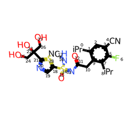 CC(C)c1cc(C#N)c(F)c(C(C)C)c1CC(=O)N=S(=O)(NC#N)c1cnc(C(O)(CO)CO)s1